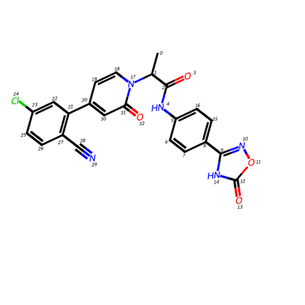 CC(C(=O)Nc1ccc(-c2noc(=O)[nH]2)cc1)n1ccc(-c2cc(Cl)ccc2C#N)cc1=O